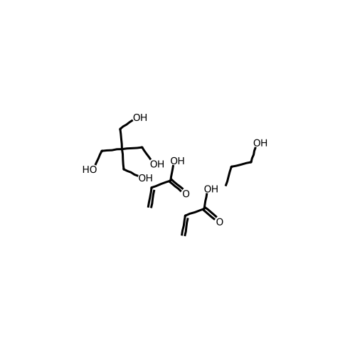 C=CC(=O)O.C=CC(=O)O.CCCO.OCC(CO)(CO)CO